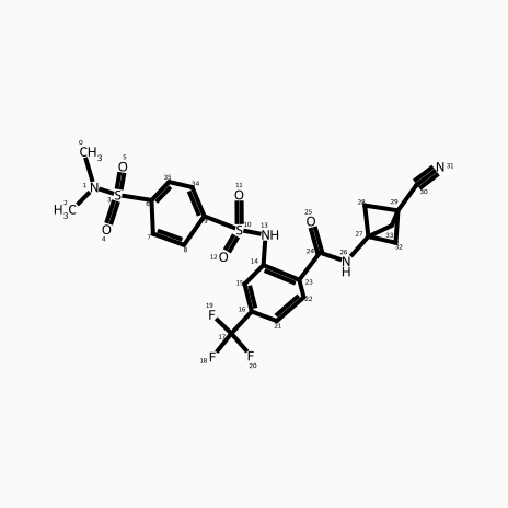 CN(C)S(=O)(=O)c1ccc(S(=O)(=O)Nc2cc(C(F)(F)F)ccc2C(=O)NC23CC(C#N)(C2)C3)cc1